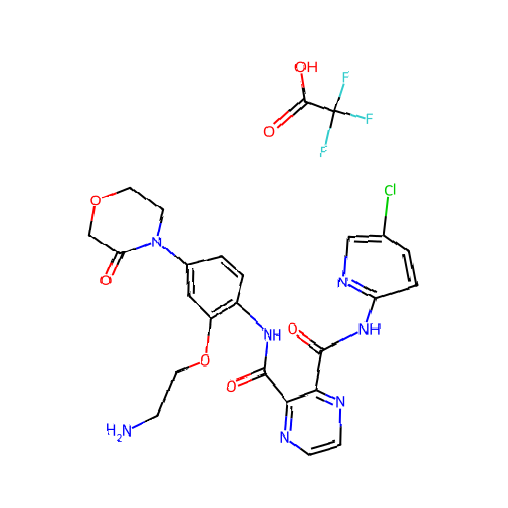 NCCOc1cc(N2CCOCC2=O)ccc1NC(=O)c1nccnc1C(=O)Nc1ccc(Cl)cn1.O=C(O)C(F)(F)F